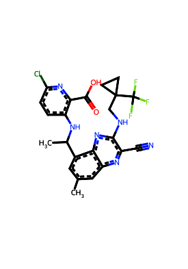 Cc1cc(C(C)Nc2ccc(Cl)nc2C(=O)O)c2nc(NCC3(C(F)(F)F)CC3)c(C#N)nc2c1